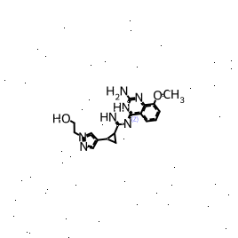 COc1cccc2/c(=N/C(=N)C3CC3c3cnn(CCO)c3)[nH]c(N)nc12